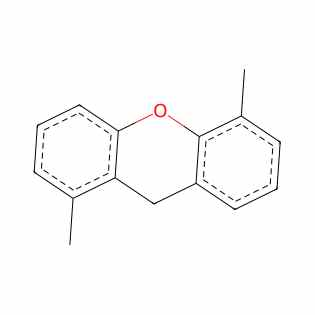 Cc1cccc2c1Cc1cccc(C)c1O2